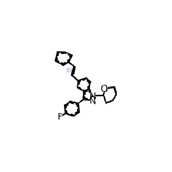 Fc1ccc(-c2nn(C3CCCCO3)c3ccc(/C=C/c4ccccc4)cc23)cc1